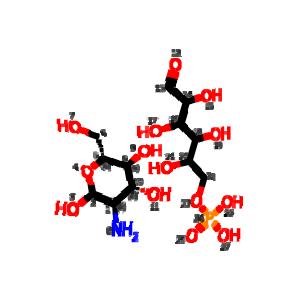 N[C@H]1C(O)O[C@H](CO)[C@@H](O)[C@@H]1O.O=CC(O)C(O)C(O)C(O)COP(=O)(O)O